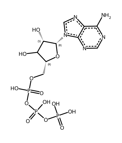 Nc1ncnc2c1ncn2[C@@H]1O[C@H](COP(=O)(O)OP(=O)(O)OP(=O)(O)O)C(O)[C@@H]1O